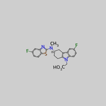 CN(c1nc2cc(F)ccc2s1)[C@H]1CCc2c(c3cc(F)ccc3n2CC(=O)O)C1